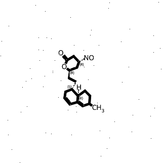 CC1C=C2C=CC[C@H](CC[C@@H]3C[C@@H](N=O)CC(=O)O3)[C@H]2CC1